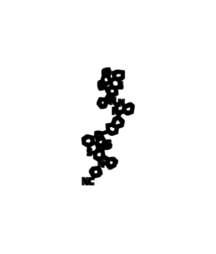 N#Cc1ccc(-n2c3ccccc3c3cc4c(cc32)Sc2ccccc2C42c3ccccc3-c3c(-c4ccc5ccc(-c6nc(-n7c8ccccc8c8cc9c(cc87)Sc7ccccc7C97c8ccccc8-c8ccccc87)nc7ccccc67)cc5c4)cccc32)cc1